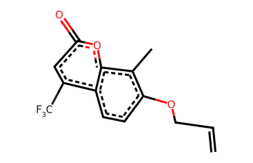 C=CCOc1ccc2c(C(F)(F)F)cc(=O)oc2c1C